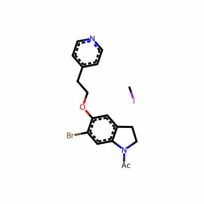 CC(=O)N1CCc2cc(OCCc3ccncc3)c(Br)cc21.CI